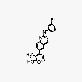 N/C(C(=O)O)=C(/C=O)c1ccc2nc(Nc3cccc(Br)c3)ncc2c1